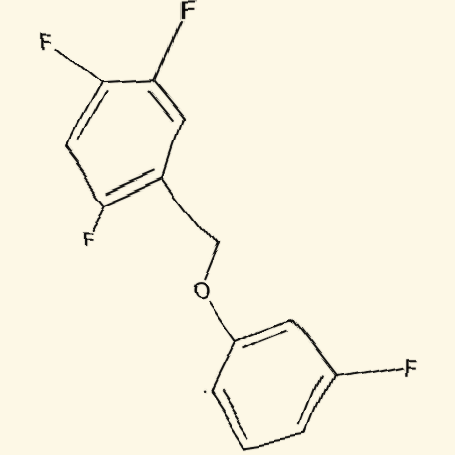 Fc1cc[c]c(OCc2cc(F)c(F)cc2F)c1